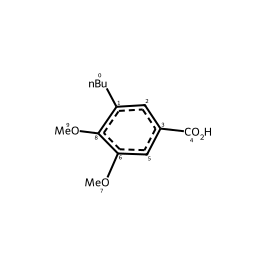 CCCCc1cc(C(=O)O)cc(OC)c1OC